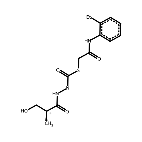 CCc1ccccc1NC(=O)CSC(=O)NNC(=O)[C@@H](C)CO